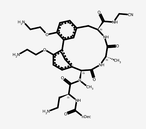 CCCCCCCCCCC(=O)N[C@@H](CCN)C(=O)N(C)[C@@H]1C(=O)N[C@@H](C)C(=O)N[C@H](C(=O)NCC#N)Cc2ccc(OCCN)c(c2)-c2cc1ccc2OCCN